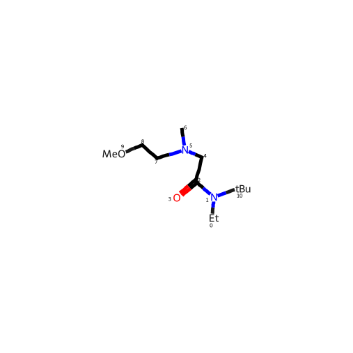 CCN(C(=O)CN(C)CCOC)C(C)(C)C